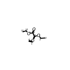 C=C.CCOC(=O)C(=O)OCC